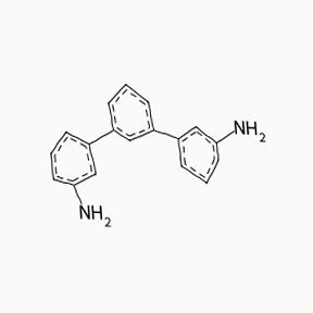 Nc1cccc(-c2cccc(-c3cccc(N)c3)c2)c1